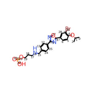 CC(C)Oc1ccc(-c2nc(-c3ccc(CNCCCO[P](=O)O)cc3)no2)cc1Br